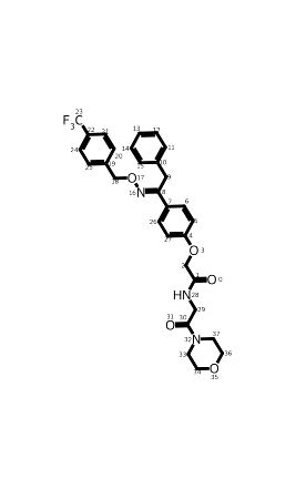 O=C(COc1ccc(C(Cc2ccccc2)=NOCc2ccc(C(F)(F)F)cc2)cc1)NCC(=O)N1CCOCC1